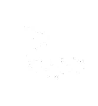 O=C(O)c1cccc(-c2ccc3[nH]cc(-c4cncc(OC5CCCNC5)n4)c3c2)c1